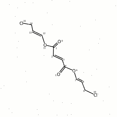 O=C(C=CC(=O)OC=CCCl)OC=CCCl